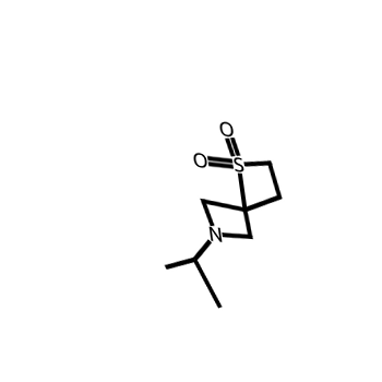 CC(C)N1CC2(CCS2(=O)=O)C1